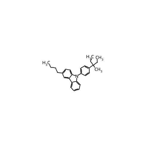 CCCCc1ccc2c(c1)c1ccccc1n2-c1ccc(C(C)(CC)CC)cc1